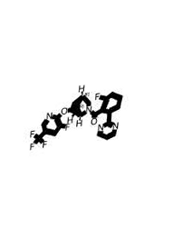 O=C(c1c(F)cccc1-c1ncccn1)N1C[C@@H]2CC[C@H]1[C@H](Oc1ncc(C(F)(F)F)cc1F)C2